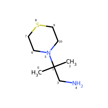 CC(C)(CN)N1CCSCC1